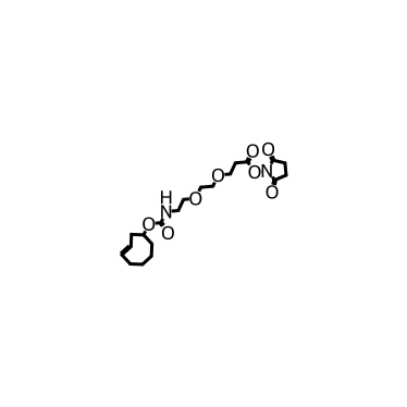 O=C(CCOCCOCCNC(=O)OC1C/C=C/CCCC1)ON1C(=O)CCC1=O